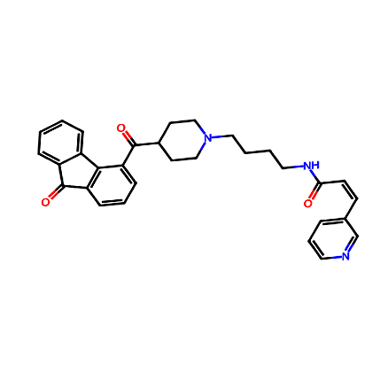 O=C(/C=C\c1cccnc1)NCCCCN1CCC(C(=O)c2cccc3c2-c2ccccc2C3=O)CC1